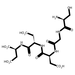 N[C@@H](CO)C(=O)NCC(=O)N[C@@H](CC(=O)O)C(=O)N[C@@H](CC(=O)O)C(=O)N[C@@H](CC(=O)O)C(=O)O